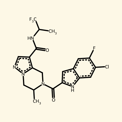 CC1Cn2ncc(C(=O)NC(C)C(F)(F)F)c2CN1C(=O)c1cc2cc(F)c(Cl)cc2[nH]1